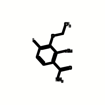 CCCCc1c(C(N)=O)ccc(I)c1OCC(F)(F)F